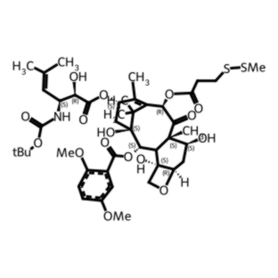 COc1ccc(OC)c(C(=O)O[C@H]2C3[C@]4(O)CO[C@@H]4C[C@H](O)[C@@]3(C)C(=O)[C@H](OC(=O)CCSSC)C3=C(C)[C@@H](OC(=O)[C@H](O)[C@H](C=C(C)C)NC(=O)OC(C)(C)C)C[C@]2(O)C3(C)C)c1